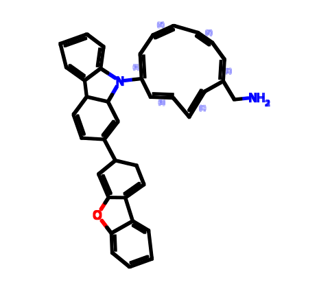 NCC1=C/C=C\C=C/C=C(N2c3ccccc3C3C=CC(C4C=c5oc6ccccc6c5=CC4)=CC32)\C=C\C=C\1